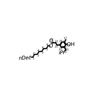 CCCCCCCCCCCCCCCCCCOC(=O)CCc1cc(C)c(O)c(CC(C)C)c1